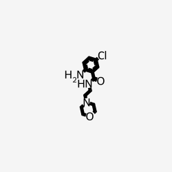 Nc1ccc(Cl)cc1C(=O)NCCN1CCOCC1